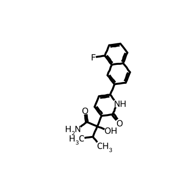 CC(C)C(O)(C(N)=O)c1ccc(-c2ccc3cccc(F)c3c2)[nH]c1=O